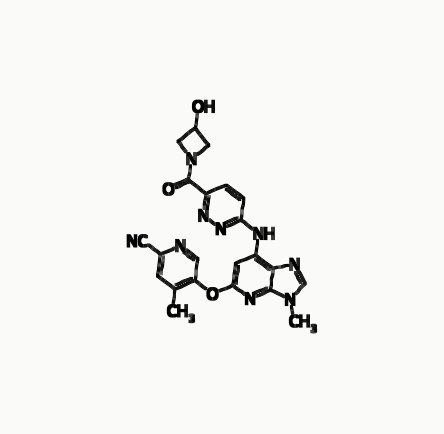 Cc1cc(C#N)ncc1Oc1cc(Nc2ccc(C(=O)N3CC(O)C3)nn2)c2ncn(C)c2n1